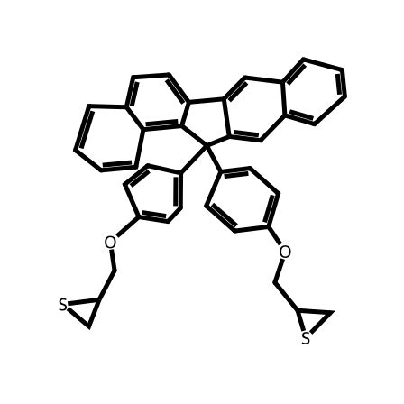 c1ccc2cc3c(cc2c1)-c1ccc2ccccc2c1C3(c1ccc(OCC2CS2)cc1)c1ccc(OCC2CS2)cc1